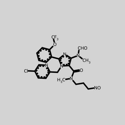 CN(CCCN=O)C(=O)c1c(N(C)C=O)nc(-c2ccccc2OC(F)(F)F)n1Cc1ccc(Cl)cn1